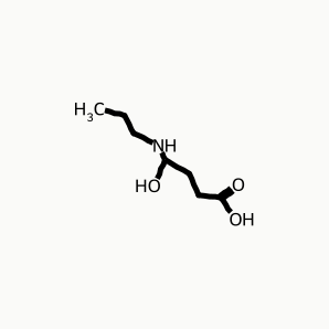 CCCNC(O)CCC(=O)O